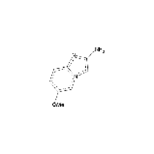 COc1ccc2nc(N)cn2c1